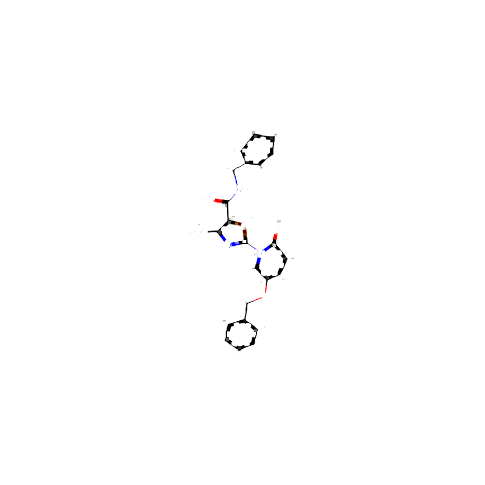 Cc1nc(-n2cc(OCc3ccccc3)ccc2=O)sc1C(=O)NCc1ccccc1